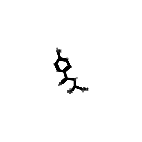 CCCCCCCCC(OC(=O)c1ccc(O)cc1)C(F)(F)F